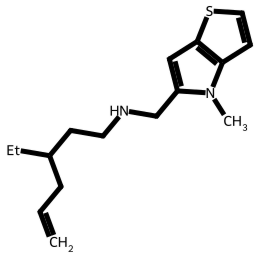 C=CCC(CC)CCNCc1cc2sccc2n1C